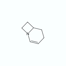 C1=CN2CCC2CC1